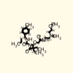 CCC[C@@H](NC(=O)N1C(=O)C(CC)(CC)C1OCC(=O)NCCN(C)CCOC)c1ccc(C)cc1